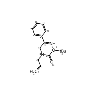 C=CCN(CC(=N)c1ccccc1)C(=O)OC(C)(C)C